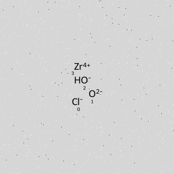 [Cl-].[O-2].[OH-].[Zr+4]